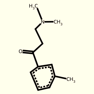 Cc1cccc(C(=O)CCN(C)C)c1